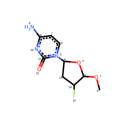 COC1OC(n2ccc(N)nc2=O)CC1F